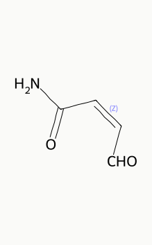 NC(=O)/C=C\C=O